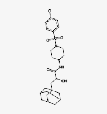 O=C(NC1CCN(S(=O)(=O)c2ccc(Cl)cc2)CC1)C(O)CC12CC3CC(CC(C3)C1)C2